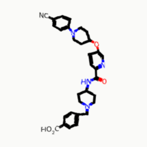 N#Cc1ccc(N2CCC(Oc3ccc(C(=O)NC4CCN(Cc5ccc(C(=O)O)cc5)CC4)nc3)CC2)cc1